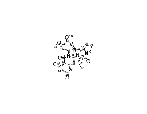 COc1ccc(N(C(=O)c2ccc(Cl)cc2Cl)c2nc(C(=O)N3CCC[C@H]3C#N)c(C)s2)cc1OC